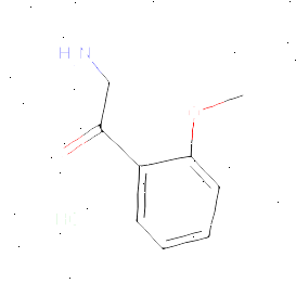 COc1ccccc1C(=O)CN.Cl